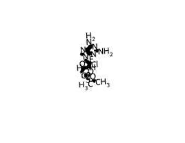 CC(C)OP1(=S)OC[C@H]2O[C@@H](n3cnc4c(N)nc(N)nc43)[C@@](F)(Cl)[C@@H]2O1